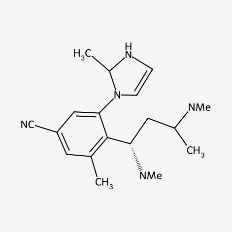 CNC(C)C[C@H](NC)c1c(C)cc(C#N)cc1N1C=CNC1C